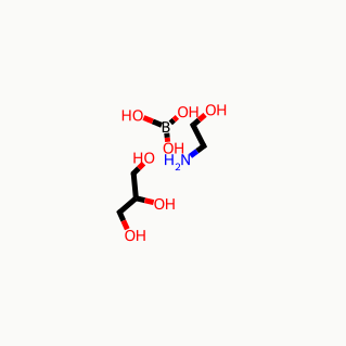 NCCO.OB(O)O.OCC(O)CO